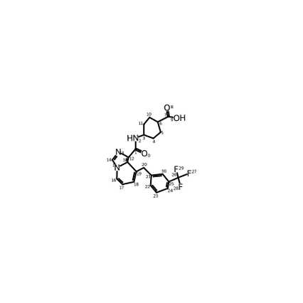 O=C(NC1CCC(C(=O)O)CC1)c1ncn2cccc(Cc3cccc(C(F)(F)F)c3)c12